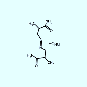 CC(CN=NCC(C)C(N)=O)C(N)=O.Cl.Cl